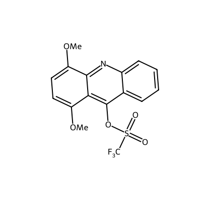 COc1ccc(OC)c2c(OS(=O)(=O)C(F)(F)F)c3ccccc3nc12